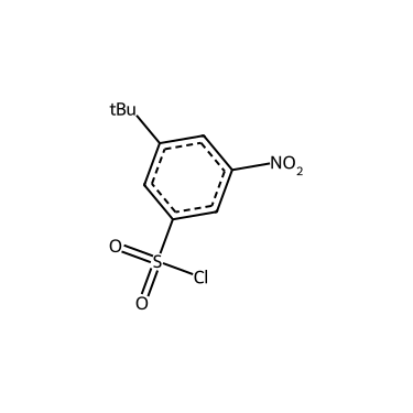 CC(C)(C)c1cc([N+](=O)[O-])cc(S(=O)(=O)Cl)c1